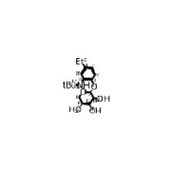 CCc1ccc(O[C@@H]2OC[C@@H](O)[C@H](O)C2O)c(NC(C)(C)C)c1